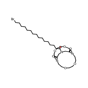 O=C1CN(C(=O)CCCCCCCCCCCCCCCBr)CC(=O)N2CCOCCOCCN1CCOCCOCC2